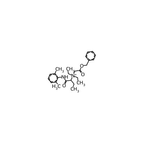 CCC(C(=O)Nc1c(C)cccc1C)[N+](CC)(CC)CC(=O)OCc1ccccc1